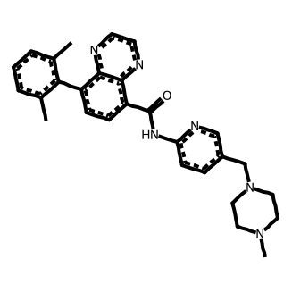 Cc1cccc(C)c1-c1ccc(C(=O)Nc2ccc(CN3CCN(C)CC3)cn2)c2nccnc12